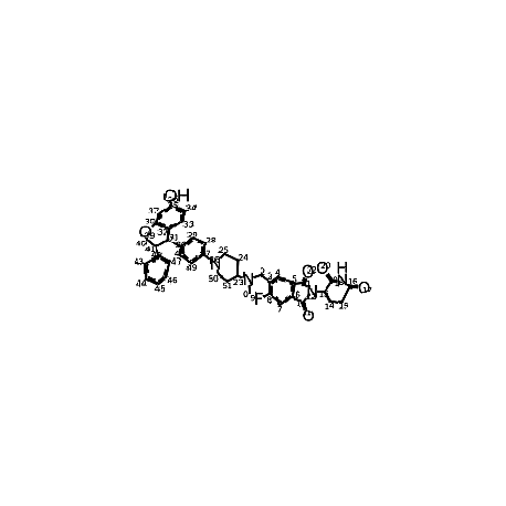 CN(Cc1cc2c(cc1F)C(=O)N(C1CCC(=O)NC1=O)C2=O)C1CCN(c2ccc([C@@H]3c4ccc(O)cc4OC[C@@H]3c3ccccc3)cc2)CC1